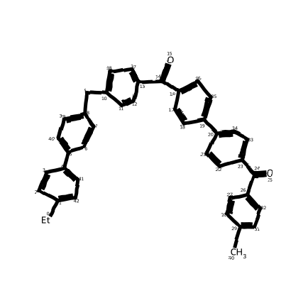 CCc1ccc(-c2ccc(Cc3ccc(C(=O)c4ccc(-c5ccc(C(=O)c6ccc(C)cc6)cc5)cc4)cc3)cc2)cc1